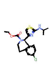 CCOC(=O)N1CCc2cc(Cl)ccc2C1c1csc(NC(C)C)n1